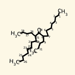 CCCCCCCCC(CCCC)C(=O)C(CCCC)CCCCCCCC